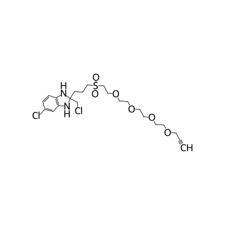 C#CCOCCOCCOCCOCCS(=O)(=O)CCCC1(CCl)Nc2ccc(Cl)cc2N1